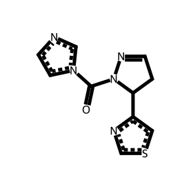 O=C(N1N=CCC1c1cscn1)n1ccnc1